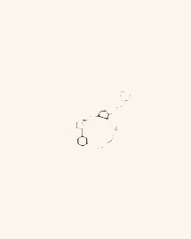 CC1CN=C2N=C1c1cccc(c1)OCC/C=C/CNCc1cc(ccc1OCCN1CCOCC1)N2